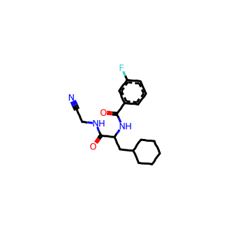 N#CCNC(=O)C(CC1CCCCC1)NC(=O)c1cccc(F)c1